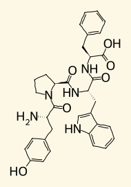 N[C@@H](Cc1ccc(O)cc1)C(=O)N1CCC[C@H]1C(=O)N[C@@H](Cc1c[nH]c2ccccc12)C(=O)N[C@@H](Cc1ccccc1)C(=O)O